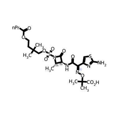 CCCC(=O)OCCC(C)(C)COS(=O)(=O)N1C(=O)[C@@H](NC(=O)/C(=N/OC(C)(C)C(=O)O)c2csc(N)n2)[C@@H]1C